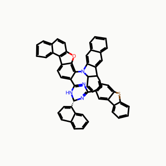 C1=CC2c3cc4ccccc4cc3N(c3c(C4=NC(c5ccc6sc7ccccc7c6c5)=N[C@H](c5cccc6ccccc56)N4)ccc4c3oc3ccc5ccccc5c34)C2C=C1